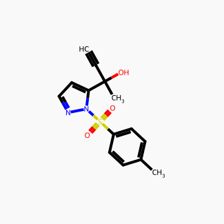 C#CC(C)(O)c1ccnn1S(=O)(=O)c1ccc(C)cc1